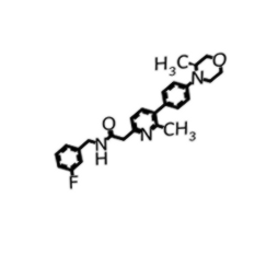 Cc1nc(CC(=O)NCc2cccc(F)c2)ccc1-c1ccc(N2CCOC[C@@H]2C)cc1